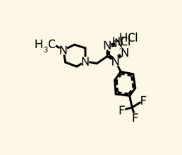 CN1CCN(Cc2nnnn2-c2ccc(C(F)(F)F)cc2)CC1.Cl.Cl